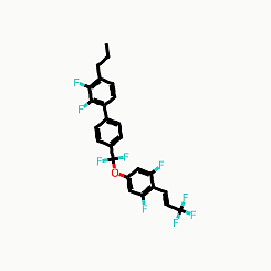 CCCc1ccc(-c2ccc(C(F)(F)Oc3cc(F)c(/C=C/C(F)(F)F)c(F)c3)cc2)c(F)c1F